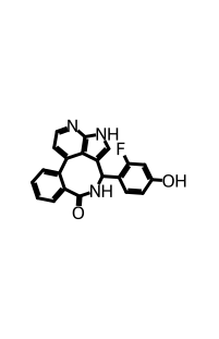 O=C1NC(c2ccc(O)cc2F)c2c[nH]c3nccc(c23)-c2ccccc21